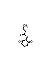 CCCC(=O)ON1C(=O)CCC2OC21